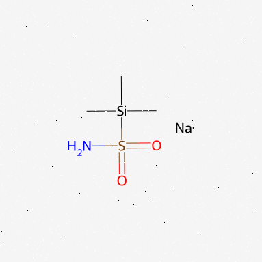 C[Si](C)(C)S(N)(=O)=O.[Na]